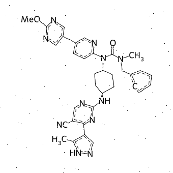 COc1ncc(-c2ccc(N(C(=O)N(C)Cc3ccccc3)[C@H]3CC[C@H](Nc4ncc(C#N)c(-c5cn[nH]c5C)n4)CC3)nc2)cn1